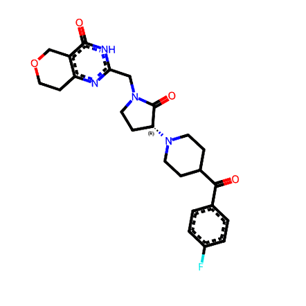 O=C(c1ccc(F)cc1)C1CCN([C@@H]2CCN(Cc3nc4c(c(=O)[nH]3)COCC4)C2=O)CC1